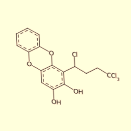 Oc1cc2c(c(C(Cl)CCC(Cl)(Cl)Cl)c1O)Oc1ccccc1O2